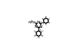 CCCc1nc(-c2ccccc2)nc(-c2ccccc2)n1